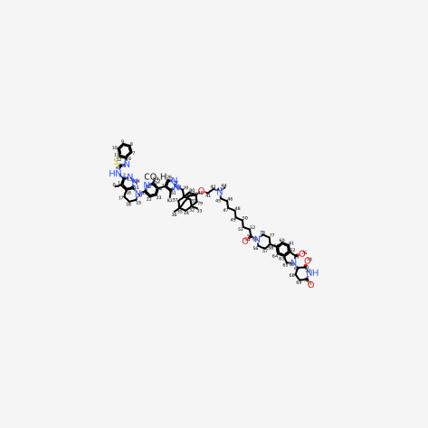 Cc1c(Nc2nc3ccccc3s2)nnc2c1CCCN2c1ccc(-c2cnn(CC34CC5(C)CC(C)(C3)CC(OCCN(C)CCCCCCCCC(=O)N3CCC(c6ccc7c(c6)CN(C6CCC(=O)NC6=O)C7=O)CC3)(C5)C4)c2C)c(C(=O)O)n1